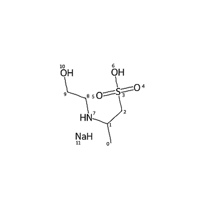 CC(CS(=O)(=O)O)NCCO.[NaH]